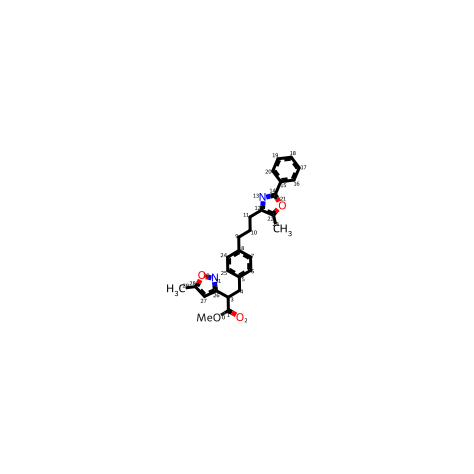 COC(=O)C(Cc1ccc(CCCc2nc(-c3ccccc3)oc2C)cc1)c1cc(C)on1